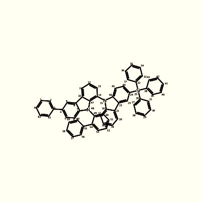 c1ccc(-c2ccc3c(c2)c2cccc(-n4c5ccccc5c5cc([Si](c6ccccc6)(c6ccccc6)c6ccccc6)ccc54)c2n3-c2ccccc2-c2ccccc2)cc1